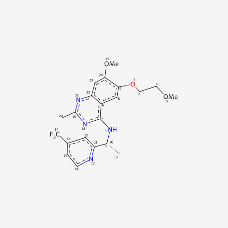 COCCOc1cc2c(N[C@H](C)c3cc(C(F)(F)F)ccn3)nc(C)nc2cc1OC